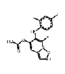 Cc1cc(I)ccc1NC1=C(F)N2ONC=C2C=C1OC(=O)O